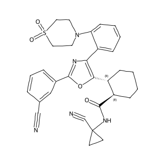 N#Cc1cccc(-c2nc(-c3ccccc3N3CCS(=O)(=O)CC3)c([C@@H]3CCCC[C@H]3C(=O)NC3(C#N)CC3)o2)c1